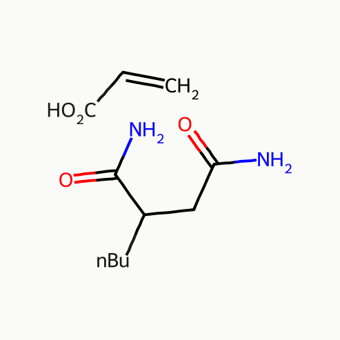 C=CC(=O)O.CCCCC(CC(N)=O)C(N)=O